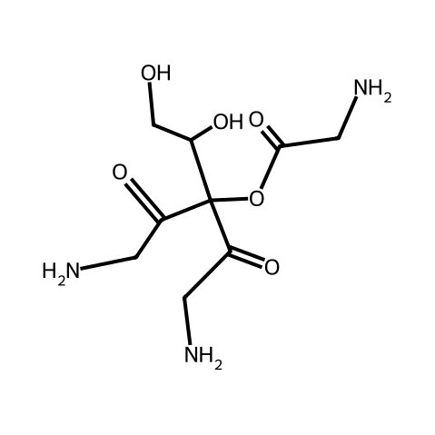 NCC(=O)OC(C(=O)CN)(C(=O)CN)C(O)CO